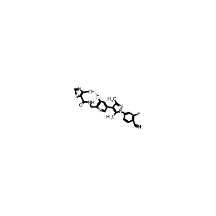 Cc1ncsc1C(=O)NCc1ncc(-c2c(C)nn(-c3ccc(C#N)c(F)c3)c2C)cc1F